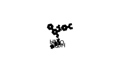 CCC(CC)c1ccc(N(Cc2cc(-c3ccccc3)ccc2CSCC(NC(=O)OC(C)(C)C)C(=O)O)C(C)C)cc1